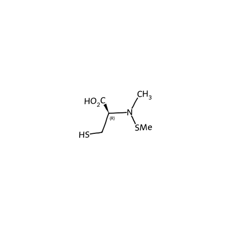 CSN(C)[C@@H](CS)C(=O)O